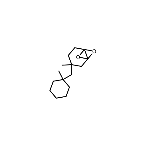 CC1(CC2(C)CCC34OC3(C2)O4)CCCCC1